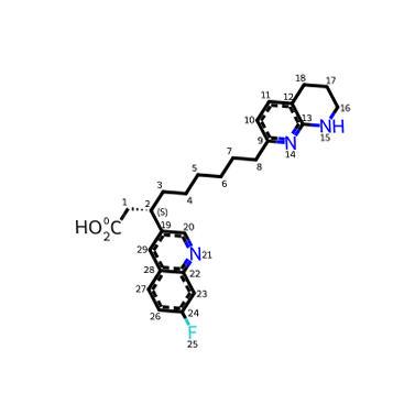 O=C(O)C[C@H](CCCCCCc1ccc2c(n1)NCCC2)c1cnc2cc(F)ccc2c1